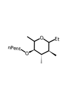 CCCCCO[C@H]1C(C)OC(CC)[C@@H](C)[C@@H]1C